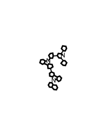 c1ccc(-c2cc(-c3cccc(-n4c5ccccc5c5cc(-c6ccc7c(c6)c6ccccc6n7-c6cccc7ccccc67)ccc54)c3)cc(-c3ccccc3)n2)cc1